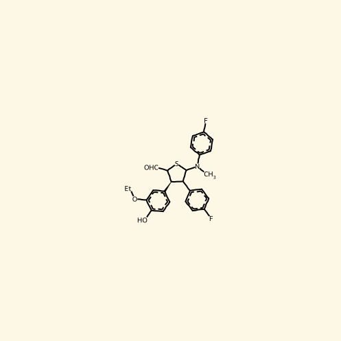 CCOc1cc([C@H]2C(C=O)SC(N(C)c3ccc(F)cc3)C2c2ccc(F)cc2)ccc1O